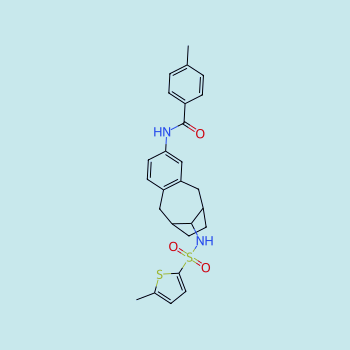 Cc1ccc(C(=O)Nc2ccc3c(c2)CC2CCC(C3)C2NS(=O)(=O)c2ccc(C)s2)cc1